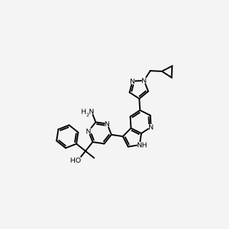 CC(O)(c1ccccc1)c1cc(-c2c[nH]c3ncc(-c4cnn(CC5CC5)c4)cc23)nc(N)n1